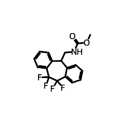 COC(=O)NCC1c2ccccc2C(F)(F)C(F)(F)c2ccccc21